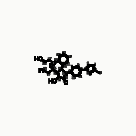 Cc1ccc(-c2ccc(N3C(=O)C(O)=C(C(=O)CC(C)C)C3c3ccccc3OCCO)cc2)s1